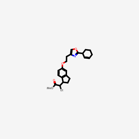 CCC(C(=O)OC)C1CCc2cc(OCCc3coc(C4C=CCCC4)n3)ccc21